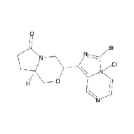 O=C1CC[C@@H]2CO[C@@H](C3=C4C=NC=C[N+]4(Cl)C(Br)=N3)CN12